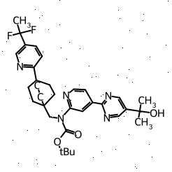 CC(C)(C)OC(=O)N(CC12CCC(c3ccc(C(C)(F)F)cn3)(CC1)CC2)c1cc(-c2ncc(C(C)(C)O)cn2)ccn1